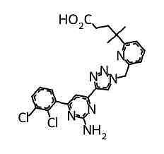 CC(C)(CCC(=O)O)c1cccc(Cn2cc(-c3cc(-c4cccc(Cl)c4Cl)nc(N)n3)nn2)n1